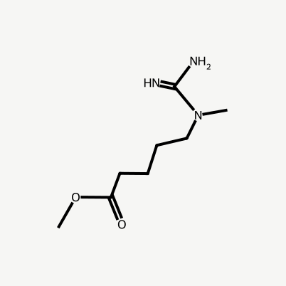 COC(=O)CCCCN(C)C(=N)N